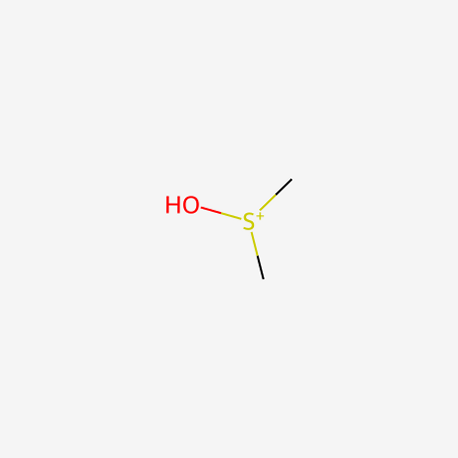 C[S+](C)O